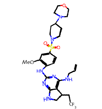 C=CCNc1nc(Nc2ccc(S(=O)(=O)N3CCC(N4CCOCC4)CC3)cc2OC)nc2c1C(CC(F)(F)F)CN2